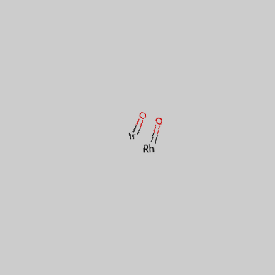 [O]=[Ir].[O]=[Rh]